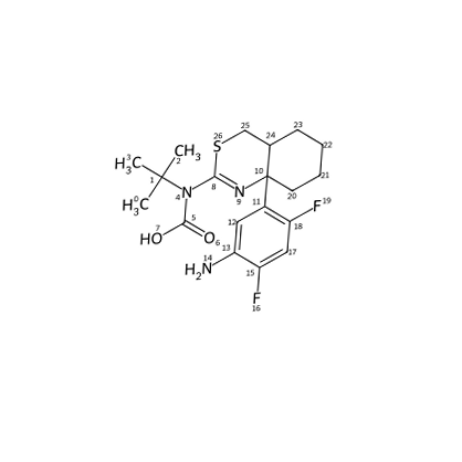 CC(C)(C)N(C(=O)O)C1=NC2(c3cc(N)c(F)cc3F)CCCCC2CS1